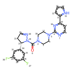 O=C(N1CCN(c2nccc(-c3ccc[nH]3)n2)CC1)N1N=CC[C@H]1c1cc(F)cc(F)c1